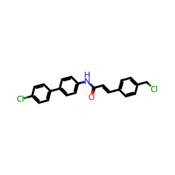 O=C(C=Cc1ccc(CCl)cc1)Nc1ccc(-c2ccc(Cl)cc2)cc1